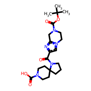 CC(C)(C)OC(=O)N1CCn2cc(C(=O)N3CCCC34CCN(C(=O)O)CC4)nc2C1